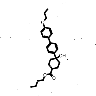 CCCCOC(=O)C1CCC(O)(c2ccc(-c3ccc(OCCC)cc3)cc2)CC1